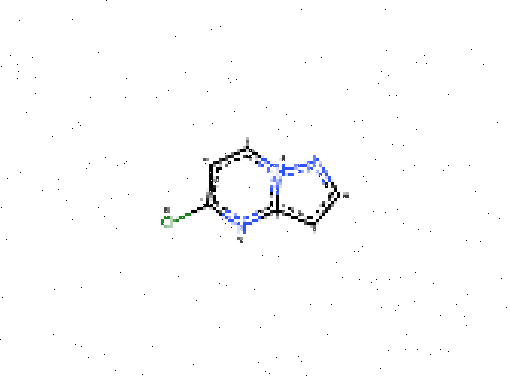 Clc1ccn2nc[c]c2n1